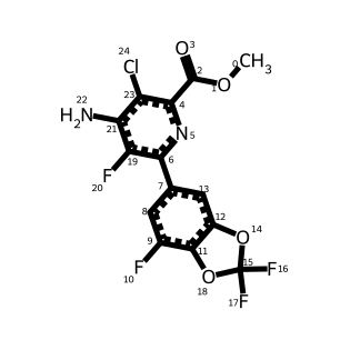 COC(=O)c1nc(-c2cc(F)c3c(c2)OC(F)(F)O3)c(F)c(N)c1Cl